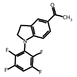 CC(=O)c1ccc2c(c1)CCN2c1c(F)c(F)cc(F)c1F